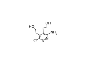 Nc1nnc(Cl)c(CCO)c1CCO